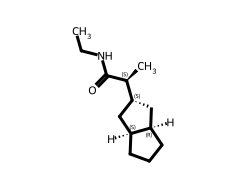 CCNC(=O)[C@@H](C)[C@@H]1C[C@H]2CCC[C@H]2C1